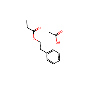 CC(=O)O.CCC(=O)OCCc1ccccc1